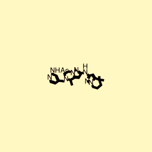 CC(=O)Nc1cc(CN2CCn3nc(Nc4cc5n(n4)CCCC5(C)C)cc3C2C)ccn1